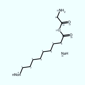 CCCCCCCCCCCCCCCCCC(=O)OC(=O)CN.[NaH]